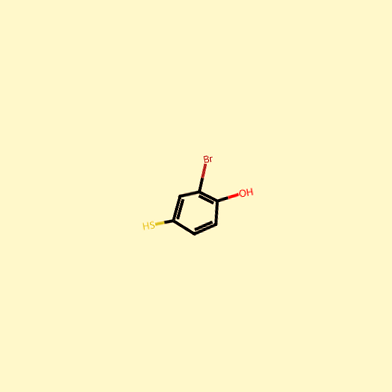 Oc1ccc(S)cc1Br